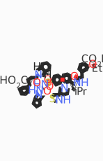 C1CSCN1.CCOc1cc(CC(=O)N[C@@H](CC(C)C)c2ccccc2N2CCCCC2)ccc1C(=O)O.Cc1ccc(S(=O)(=O)NC(=O)NN2CC3CCCC3C2)cc1.O=C(O)[C@H](CC(=O)N1C[C@H]2CCCC[C@H]2C1)Cc1ccccc1